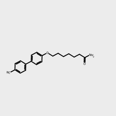 N#Cc1ccc(-c2ccc(OCCCCCCC(N)=O)cc2)cc1